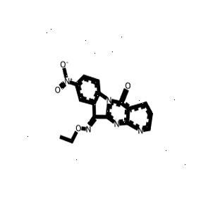 CCO/N=C1\c2cc([N+](=O)[O-])ccc2-n2c1nc1ncccc1c2=O